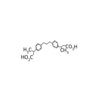 CC(CC(=O)O)c1ccc(CCCc2ccc(C(C)CC(=O)O)cc2)cc1